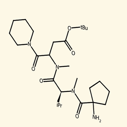 CC(C)[C@@H](C(=O)N(C)C(CC(=O)OC(C)(C)C)C(=O)N1CCCCC1)N(C)C(=O)C1(N)CCCC1